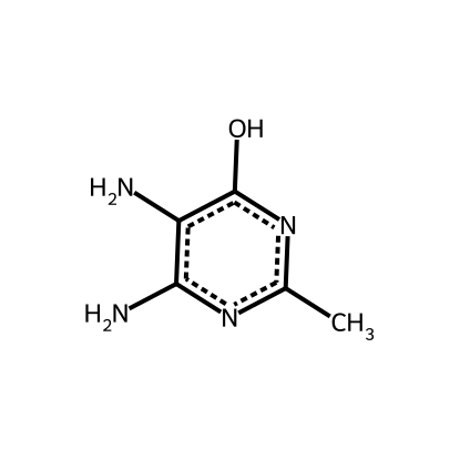 Cc1nc(N)c(N)c(O)n1